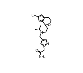 C[C@H]1C[C@@]2(CCN1Cc1cnn(CC(N)=O)c1)OCCc1cc(Cl)sc12